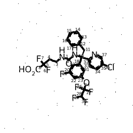 O=C(NCCC(F)(F)C(=O)O)N[C@@](Cc1ccccc1)(c1cc(F)cc(OC(F)(F)C(F)F)c1)c1ccc(Cl)cn1